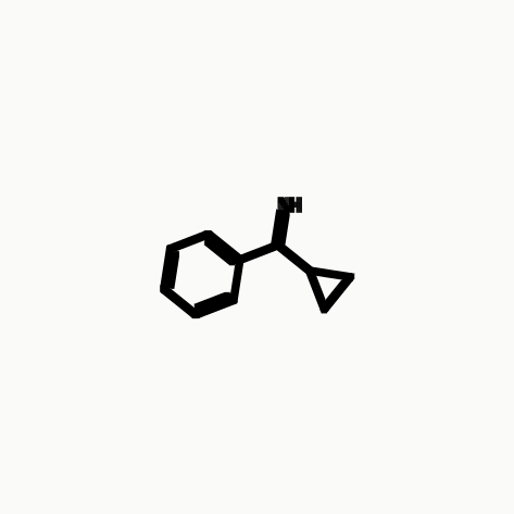 N=C(c1ccccc1)C1CC1